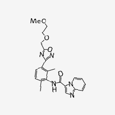 COCCOCc1nc(-c2ccc(C)c(NC(=O)c3cnc4ccccn34)c2C)no1